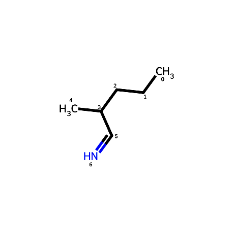 CCCC(C)C=N